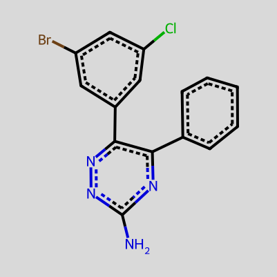 Nc1nnc(-c2cc(Cl)cc(Br)c2)c(-c2ccccc2)n1